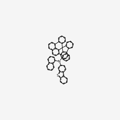 c1ccc(-c2ccc3cccc4c3c2C2(c3ccccc3-c3ccc(N(c5ccc6c(c5)sc5ccccc56)c5cccc6ccccc56)cc32)c2ccccc2-4)cc1